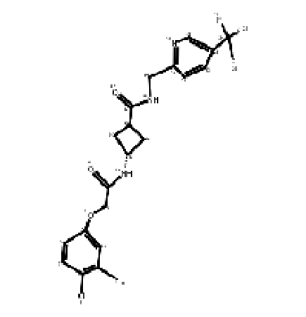 O=C(COc1ccc(Cl)c(F)c1)N[C@H]1C[C@H](C(=O)NCc2ccc(C(F)(F)F)cn2)C1